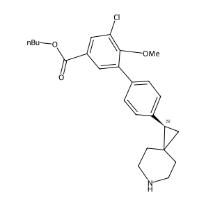 CCCCOC(=O)c1cc(Cl)c(OC)c(-c2ccc([C@H]3CC34CCNCC4)cc2)c1